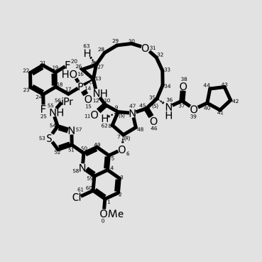 COc1ccc2c(O[C@@H]3C[C@H]4C(=O)N[C@]5(P(=O)(O)Cc6c(F)cccc6F)C[C@H]5CCCOCCC[C@H](NC(=O)OC5CCCC5)C(=O)N4C3)cc(-c3csc(NC(C)C)n3)nc2c1Cl